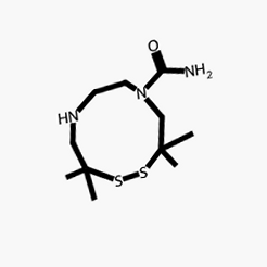 CC1(C)CNCCN(C(N)=O)CC(C)(C)SS1